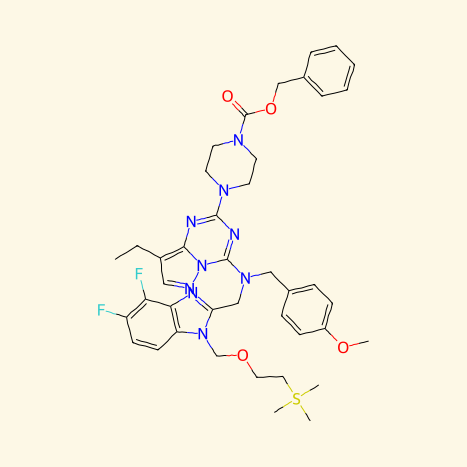 CCc1cnn2c(N(Cc3ccc(OC)cc3)Cc3nc4c(F)c(F)ccc4n3COCCS(C)(C)C)nc(N3CCN(C(=O)OCc4ccccc4)CC3)nc12